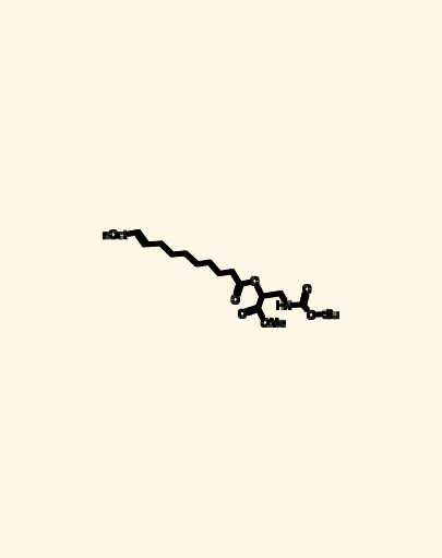 CCCCCCCC/C=C/CCCCCCCC(=O)OC(CNC(=O)OC(C)(C)C)C(=O)OC